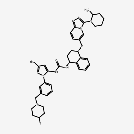 CC1CCCCN1c1nnc2ccc(O[C@@H]3CC[C@H](NC(=O)Nc4cc(C(C)(C)C)nn4-c4cccc(CN5CCC(F)CC5)c4)c4ccccc43)cn12